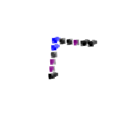 [N-3].[N-3].[Ni+2].[Ni+2].[Ni+2].[P].[P].[P].[Si].[Si].[Si]